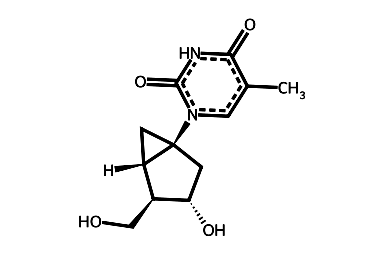 Cc1cn([C@@]23C[C@H](O)[C@@H](CO)[C@@H]2C3)c(=O)[nH]c1=O